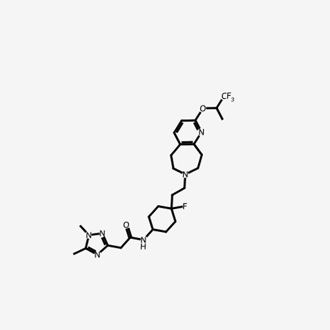 Cc1nc(CC(=O)NC2CCC(F)(CCN3CCc4ccc(OC(C)C(F)(F)F)nc4CC3)CC2)nn1C